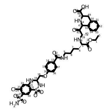 CCOC(=O)[C@H](CCCCNC(=O)c1ccc(OCC2Nc3cc(Cl)c(S(N)(=O)=O)cc3S(=O)(=O)N2)cc1)N[C@@H](C)C(=O)C1NC(C(=O)O)Cc2ccccc21